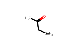 CC(=O)[CH2][SnH3]